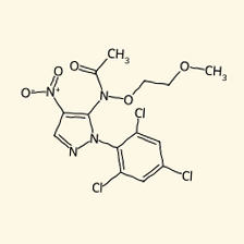 COCCON(C(C)=O)c1c([N+](=O)[O-])cnn1-c1c(Cl)cc(Cl)cc1Cl